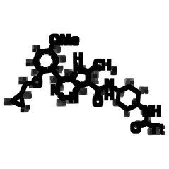 CCC(=O)N[C@H]1CC[C@@H](NC(=O)c2c(C)[nH]c3c(-c4cc(OC)ccc4OCC4CC4)ncnc23)CC1